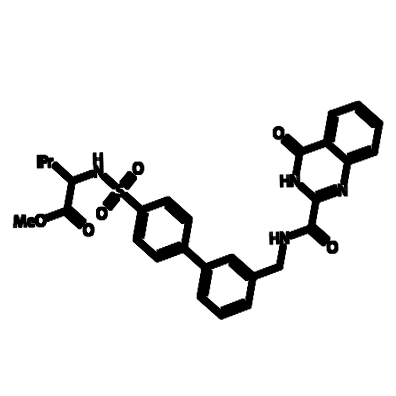 COC(=O)C(NS(=O)(=O)c1ccc(-c2cccc(CNC(=O)c3nc4ccccc4c(=O)[nH]3)c2)cc1)C(C)C